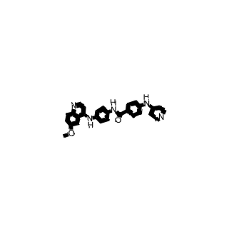 COc1ccc2nccc(Nc3ccc(NC(=O)c4ccc(Nc5ccncc5)cc4)cc3)c2c1